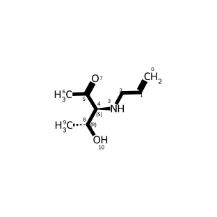 C=CCN[C@H](C(C)=O)[C@@H](C)O